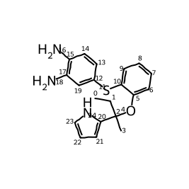 CCC(C)(Oc1ccccc1Sc1ccc(N)c(N)c1)c1ccc[nH]1